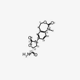 CN1C(=O)OCCc2cc(N3C[C@H](C(N)=O)OC3=O)ccc21